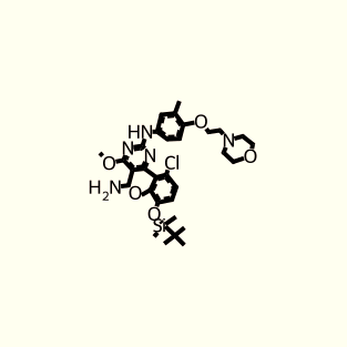 COc1nc(Nc2ccc(OCCN3CCOCC3)c(C)c2)nc(-c2c(Cl)ccc(O[Si](C)(C)C(C)(C)C)c2C)c1C(N)=O